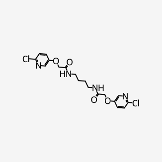 O=C(COc1ccc(Cl)nc1)NCCCCNC(=O)COc1ccc(Cl)nc1